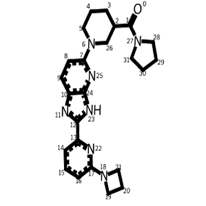 O=C(C1CCCN(c2ccc3nc(-c4cccc(N5CCC5)n4)[nH]c3n2)C1)N1CCCC1